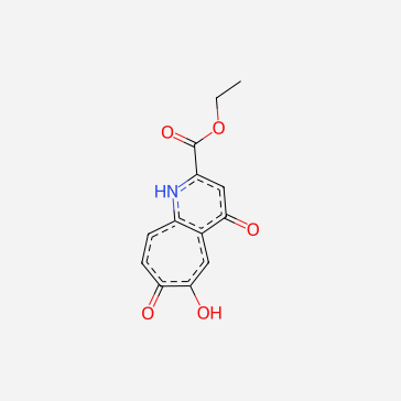 CCOC(=O)c1cc(=O)c2cc(O)c(=O)ccc2[nH]1